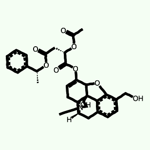 CC(=O)O[C@@H](CC(=O)O[C@H](C)c1ccccc1)C(=O)OC1=CC[C@@]2(O)[C@H]3Cc4ccc(CO)c5c4C2(CCN3C)C1O5